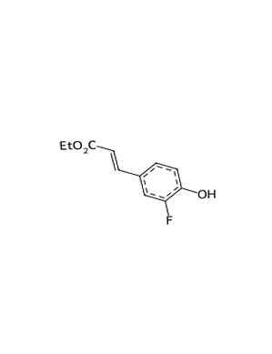 CCOC(=O)/C=C/c1ccc(O)c(F)c1